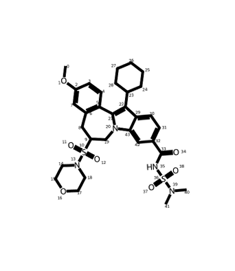 COc1ccc2c(c1)CC(S(=O)(=O)N1CCOCC1)Cn1c-2c(C2CCCCC2)c2ccc(C(=O)NS(=O)(=O)N(C)C)cc21